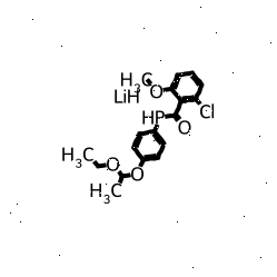 CCOC(C)Oc1ccc(PC(=O)c2c(Cl)cccc2OC)cc1.[LiH]